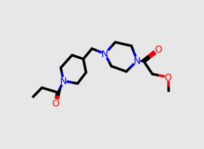 CCC(=O)N1CCC(CN2CCN(C(=O)COC)CC2)CC1